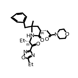 CCc1nc(C(=O)[C@H](CC)NC(=O)[C@@H](CC(=O)N2CCOCC2)CC(C)(C)Cc2ccccc2)no1